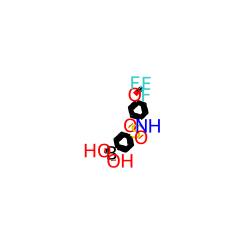 O=S(=O)(Nc1ccc(OC(F)(F)F)cc1)c1ccc(B(O)O)cc1